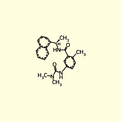 Cc1ccc(NC(=O)N(C)C)cc1C(=O)N[C@H](C)c1cccc2ccccc12